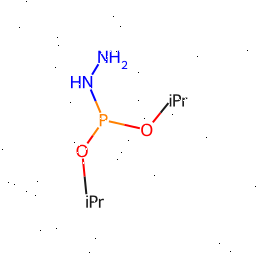 CC(C)OP(NN)OC(C)C